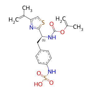 C=C(C)OC(=O)N[C@@H](Cc1ccc(NS(=O)(=O)O)cc1)c1nc(C(=C)C)cs1